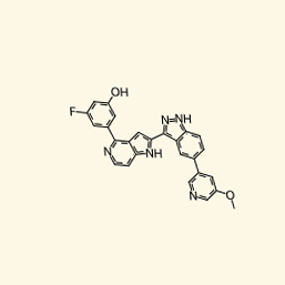 COc1cncc(-c2ccc3[nH]nc(-c4cc5c(-c6cc(O)cc(F)c6)nccc5[nH]4)c3c2)c1